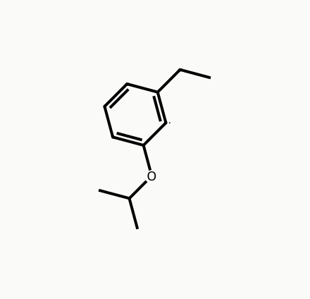 CCc1[c]c(OC(C)C)ccc1